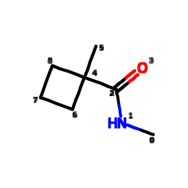 CNC(=O)C1(C)CCC1